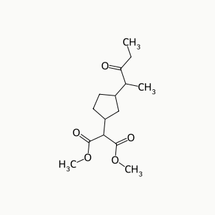 CCC(=O)C(C)C1CCC(C(C(=O)OC)C(=O)OC)C1